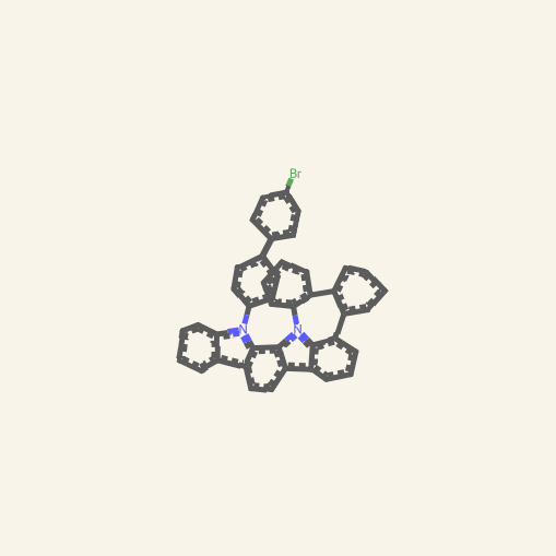 Brc1ccc(-c2ccc(-n3c4ccccc4c4ccc5c6cccc7c6n(c5c43)-c3ccccc3-c3ccccc3-7)cc2)cc1